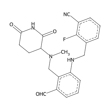 CN(Cc1c(C=O)cccc1NCc1cccc(C#N)c1F)C1CCC(=O)NC1=O